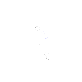 O=C(NCc1ccc2sccc2c1)[C@@H]1CCN(c2ncnc3nn(-c4ccc(C(F)(F)F)cc4)cc23)C1